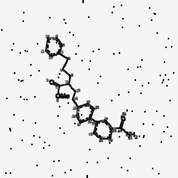 COC(=O)C(CCCc1ccccc1)CCc1ccc(-c2cccc(C(N)=O)c2)cc1